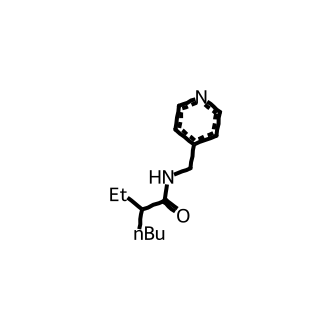 CCCCC(CC)C(=O)NCc1ccncc1